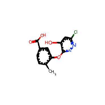 Cc1ccc(C(=O)O)cc1Oc1nnc(Cl)cc1O